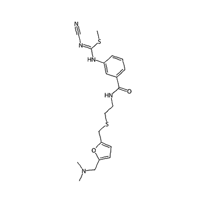 CSC(=NC#N)Nc1cccc(C(=O)NCCSCc2ccc(CN(C)C)o2)c1